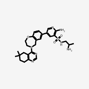 CC(N)CNS(=O)(=O)c1cc(-c2ccc3c(c2)CN(c2ncnc4c2CC(C)(C)CC4)CCO3)cnc1N